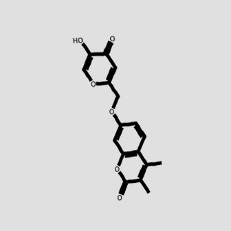 Cc1c(C)c2ccc(OCc3cc(=O)c(O)co3)cc2oc1=O